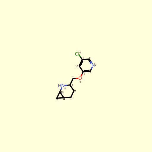 Clc1cncc(OCC2CCC3CC3N2)c1